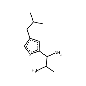 CC(C)Cc1csc(C(N)C(C)N)c1